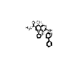 CC(=O)C1=CN(C2CCCC2)C2NC(Nc3ccc(-c4ccccc4)cn3)=NC=C2C1C